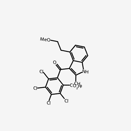 COCCc1cccc2[nH]c(C)c(C(=O)c3c(Cl)c(Cl)c(Cl)c(Cl)c3C(=O)O)c12